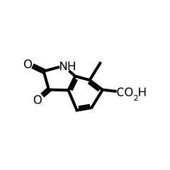 Cc1c(C(=O)O)ccc2c1NC(=O)C2=O